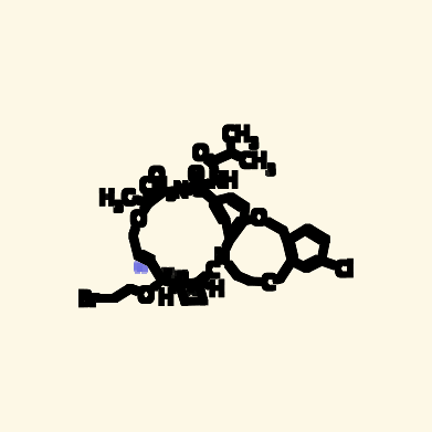 CC(C)C(=O)NS1(=O)=NC(=O)C(C)(C)OC/C=C/[C@H](OCCBr)[C@@H]2CC[C@H]2CN2CCCCc3cc(Cl)ccc3COc3ccc1cc32